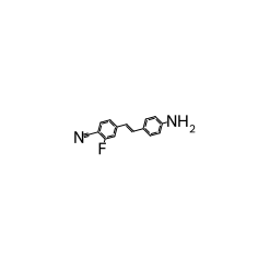 N#Cc1ccc(C=Cc2ccc(N)cc2)cc1F